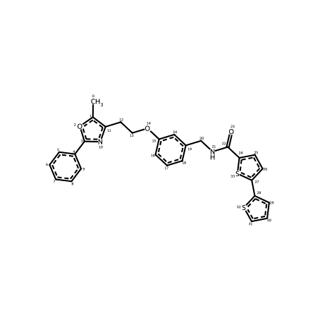 Cc1oc(-c2ccccc2)nc1CCOc1cccc(CNC(=O)c2ccc(-c3cccs3)s2)c1